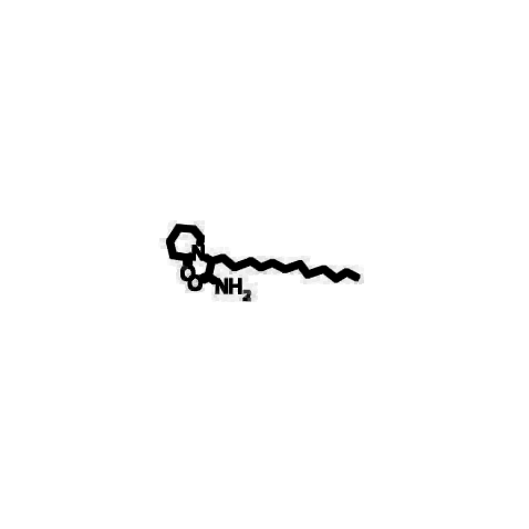 CCCCCCCCCCCCC(C(N)=O)N1CCCCCC1=O